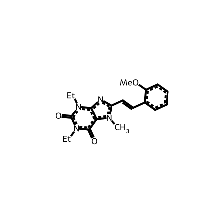 CCn1c(=O)c2c(nc(C=Cc3ccccc3OC)n2C)n(CC)c1=O